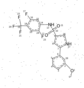 COc1cccc(-c2cc(S(=O)(=O)Nc3cc(F)c(C(F)(F)F)cc3F)c[nH]2)c1